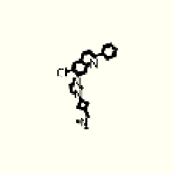 CN(C)CC1CC(N2C=CN(c3cc4nc(-c5ccccc5)ccc4cc3Cl)C2)C1